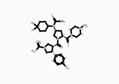 C=C(C)N1C[C@@H](C(=O)N2C[C@@H](N(C(=O)C(C)(C)C)C3CCC(F)(F)CC3)C[C@H]2C(=O)N2CCN(C)CC2)[C@H](c2ccc(Cl)cc2)C1